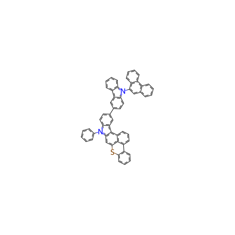 c1ccc(-n2c3ccc(-c4ccc5c(c4)c4ccccc4n5-c4cc5ccccc5c5ccccc45)cc3c3c4cccc5c4c(cc32)Sc2ccccc2-5)cc1